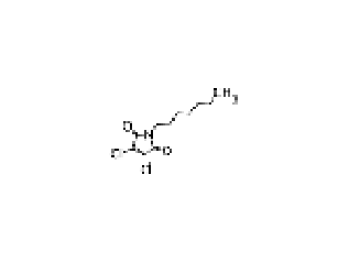 CCCCCCCN1C(=O)C(Cl)=C(Cl)C1=O